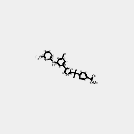 COC(=O)c1ccc(C(C)(C)c2ncc(-c3cc(C)cc(Nc4nccc(C(F)(F)F)n4)c3)s2)cc1